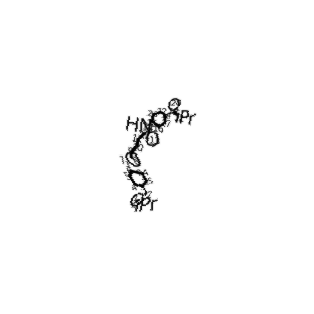 CC(C)OC[C@H]1CC[C@H](COCCCC(=O)N[C@H]2CC[C@H](C(=O)C(C)C)CC2)CC1